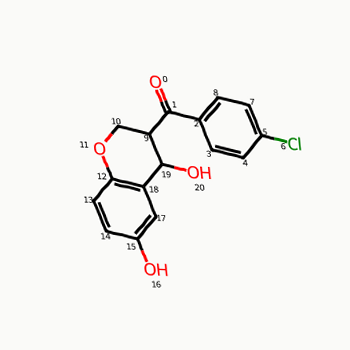 O=C(c1ccc(Cl)cc1)C1COc2ccc(O)cc2C1O